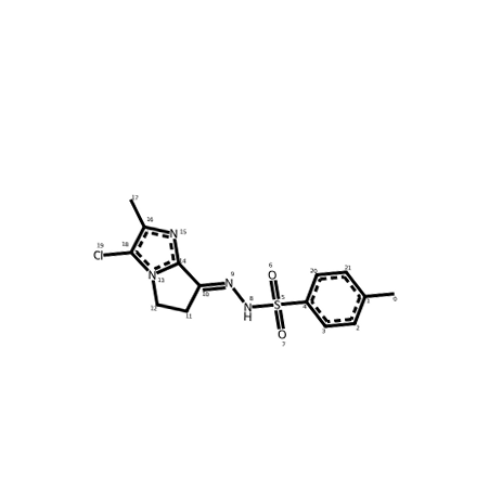 Cc1ccc(S(=O)(=O)N/N=C2\CCn3c2nc(C)c3Cl)cc1